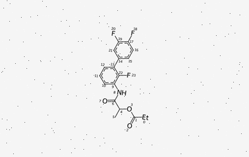 CCC(=O)OC(C)C(=O)Nc1cccc(-c2ccc(F)c(F)c2)c1F